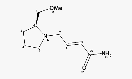 COC[C@@H]1CCCN1CC=CC(N)=O